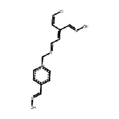 ON=CC(/C=C\Cl)=C/C=N/C[n+]1ccc(C=NO)cc1